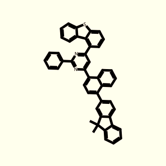 CC1(C)c2ccccc2-c2ccc(-c3ccc(-c4cc(-c5cccc6sc7ccccc7c56)nc(-c5ccccc5)n4)c4ccccc34)cc21